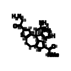 CNC(=O)c1cc2c(s1)CCc1sc(C(=O)CN)cc1C2(C[C@H](C)N)c1nn[nH]n1